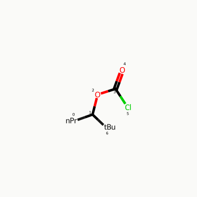 CCCC(OC(=O)Cl)C(C)(C)C